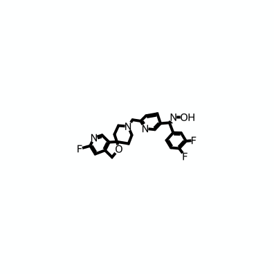 O/N=C(/c1ccc(CN2CCC3(CC2)OCc2cc(F)ncc23)nc1)c1ccc(F)c(F)c1